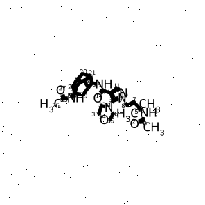 CC(=O)NC(C)(C)/C=C/n1ncc(C(=O)NC2C3CC4CC2CC(NC(C)=O)(C4)C3)c1N1CCOCC1